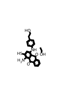 CCO.Nc1c(S)cc(Nc2ccc(CCO)cc2)c2c1C(=O)c1ccccc1C2=O